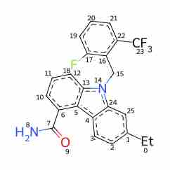 CCc1c[c]c2c3c(C(N)=O)cccc3n(Cc3c(F)cccc3C(F)(F)F)c2c1